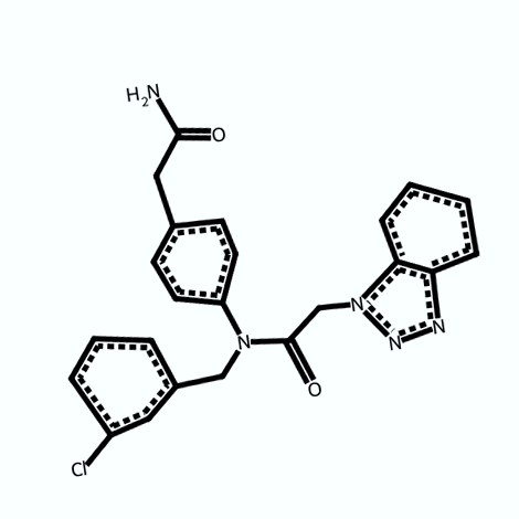 NC(=O)Cc1ccc(N(Cc2cccc(Cl)c2)C(=O)Cn2nnc3ccccc32)cc1